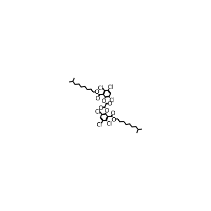 CC(C)CCCCCCCOC(=O)c1c(Cl)c(Cl)cc(Cl)c1OC(=O)C(=O)Oc1c(Cl)cc(Cl)c(Cl)c1C(=O)OCCCCCCCC(C)C